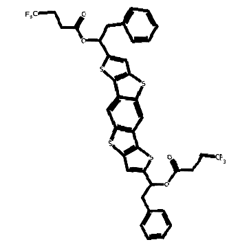 O=C(CCC(F)(F)F)OC(Cc1ccccc1)c1cc2sc3cc4c(cc3c2s1)sc1cc(C(Cc2ccccc2)OC(=O)CCC(F)(F)F)sc14